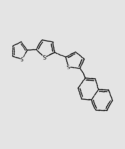 c1csc(-c2ccc(-c3ccc(-c4ccc5ccccc5c4)s3)s2)c1